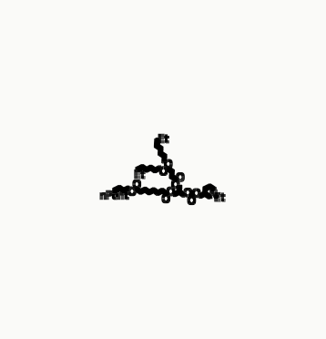 CC/C=C\CCCCOC(CCC(=O)OCC(COC(=O)CCCCCCC(=O)OCC/C=C\CCCCC)COC(=O)OCC1CCCN(CC)C1)OCCCC/C=C\CC